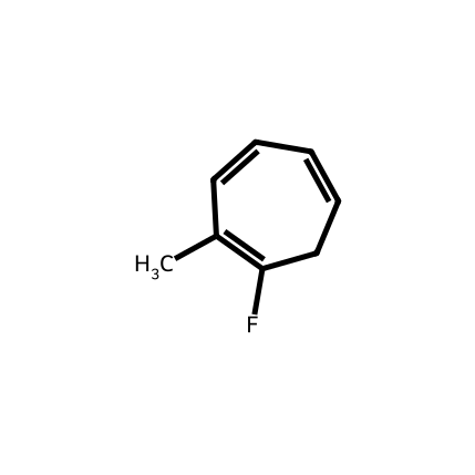 CC1=C(F)CC=CC=C1